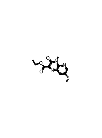 CCOC(=O)c1nc2cc(SC)cnc2n(C)c1=O